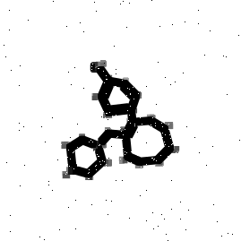 Clc1ccc(C2=C(CN3CC[N]CC3)CCCCCC2)cc1